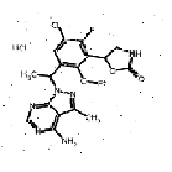 CCOc1c(C(C)n2nc(C)c3c(N)ncnc32)cc(Cl)c(F)c1C1CNC(=O)O1.Cl